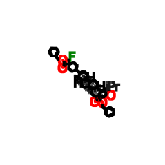 CC(C)C1=C2[C@H]3CC[C@@H]4[C@@]5(C)CC=C(C6=CCC(CF)(C(=O)OCc7ccccc7)CC6)C(C)(C)[C@@H]5CC[C@@]4(C)[C@]3(C)CC[C@@]2(C(=O)OCc2ccccc2)CC1=O